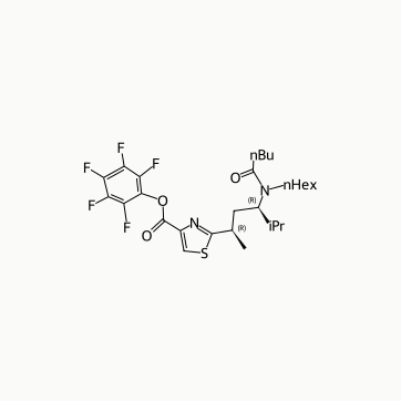 CCCCCCN(C(=O)CCCC)[C@H](C[C@@H](C)c1nc(C(=O)Oc2c(F)c(F)c(F)c(F)c2F)cs1)C(C)C